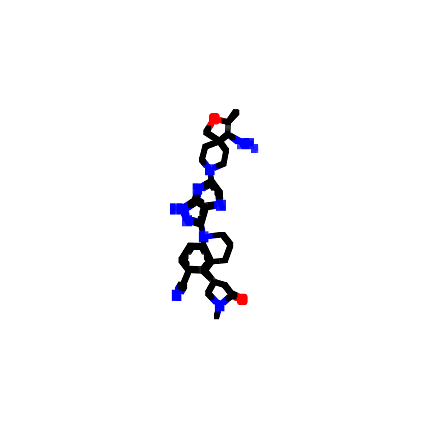 C[C@@H]1OCC2(CCN(c3cnc4c(N5CCCc6c5ccc(C#N)c6[C@H]5CC(=O)N(C)C5)n[nH]c4n3)CC2)[C@@H]1N